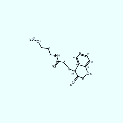 CCOCCCNC(=O)CCN1C(=O)COc2ccccc21